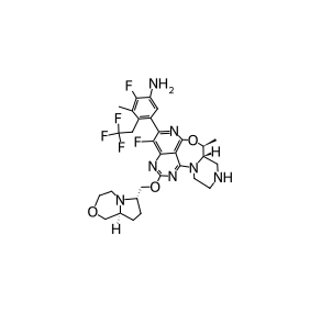 Cc1c(F)c(N)cc(-c2nc3c4c(nc(OC[C@@H]5CC[C@H]6COCCN65)nc4c2F)N2CCNC[C@H]2[C@H](C)O3)c1CC(F)(F)F